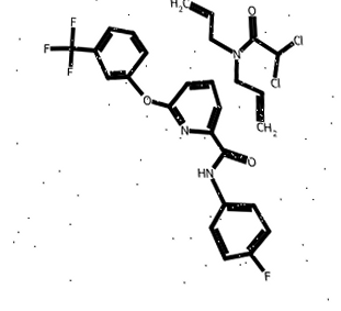 C=CCN(CC=C)C(=O)C(Cl)Cl.O=C(Nc1ccc(F)cc1)c1cccc(Oc2cccc(C(F)(F)F)c2)n1